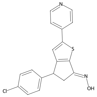 ON=C1CC(c2ccc(Cl)cc2)c2cc(-c3ccncc3)sc21